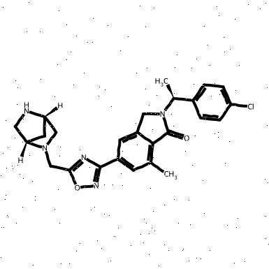 Cc1cc(-c2noc(CN3C[C@@H]4C[C@H]3CN4)n2)cc2c1C(=O)N([C@@H](C)c1ccc(Cl)cc1)C2